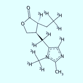 [2H]c1nc(C)n(C([2H])([2H])[2H])c1C([2H])([2H])[C@H]1COC(=O)[C@@]1([2H])CC([2H])([2H])[2H]